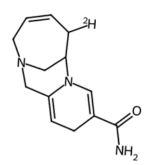 [2H]C1C=CCN2CC3=CCC(C(N)=O)=CN3C1C2